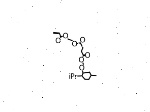 C=CC(=O)OCCOC(=O)CCC(=O)OCOC1CC(C)CCC1C(C)C